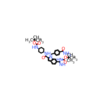 CC(C)(C)OC(=O)NC(=N)c1ccc2cc(C(=O)N[C@H]3CC[C@H](NC(=O)OC(C)(C)C)CC3)n(Cc3ccc(C(N)=O)cc3)c2c1